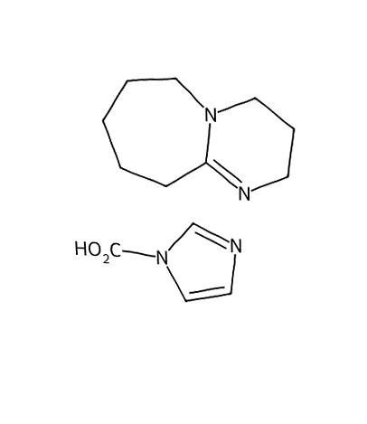 C1CCC2=NCCCN2CC1.O=C(O)n1ccnc1